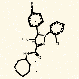 C[C@@H]1C(C(=O)NC2CCCCCC2)=NN(c2ccccc2Cl)[C@@H]1c1ccc(F)cc1